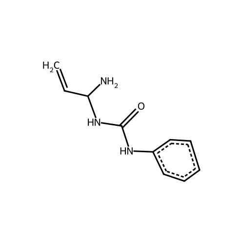 C=CC(N)NC(=O)Nc1ccccc1